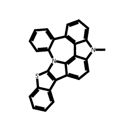 Cn1c2cccc3c4ccccc4n4c5sc6ccccc6c5c5ccc1c(c32)c54